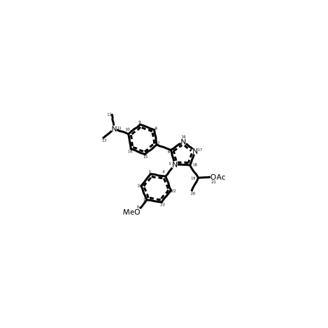 COc1ccc(-n2c(-c3ccc(N(C)C)cc3)nnc2C(C)OC(C)=O)cc1